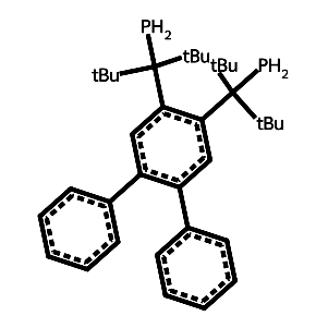 CC(C)(C)C(P)(c1cc(-c2ccccc2)c(-c2ccccc2)cc1C(P)(C(C)(C)C)C(C)(C)C)C(C)(C)C